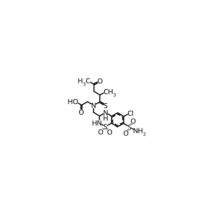 CC(=O)CC(C)C(=S)N(CC(=O)O)CC1Nc2cc(Cl)c(S(N)(=O)=O)cc2S(=O)(=O)N1